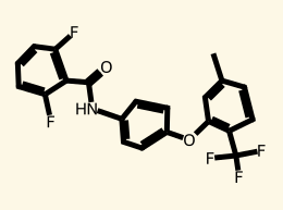 Cc1ccc(C(F)(F)F)c(Oc2ccc(NC(=O)c3c(F)cccc3F)cc2)c1